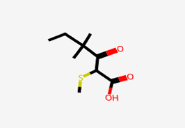 CCC(C)(C)C(=O)C(SC)C(=O)O